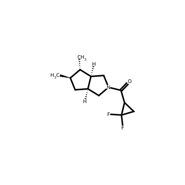 C[C@@H]1[C@H]2CN(C(=O)C3CC3(F)F)C[C@H]2C[C@H]1C